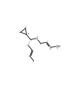 CC=CC[C@@H](OCC=NO)C1CC1